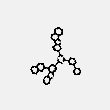 c1ccc(-c2cccc(-c3nc(-c4ccc5c(c4)oc4c6ccccc6ccc54)nc(-c4cc(-c5ccc6ccccc6c5)c5c(c4)oc4ccccc45)n3)c2)cc1